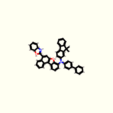 CC1(C)c2ccccc2-c2ccc(N(c3ccc(-c4ccccc4)cc3)c3cccc4c3oc3cc(C5=NC6C=CC=CC6O5)c5ccccc5c34)cc21